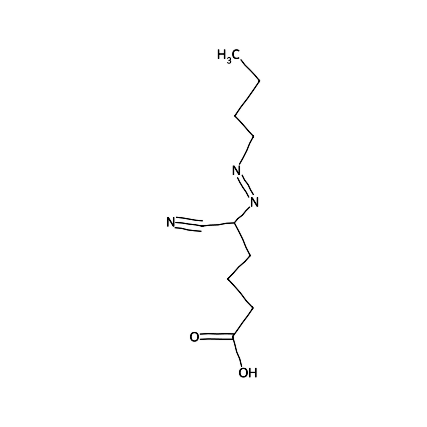 CCCCN=NC(C#N)CCCC(=O)O